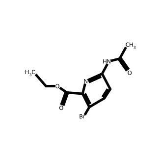 CCOC(=O)c1nc(NC(C)=O)ccc1Br